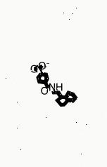 O=C(NCC=C1CCCc2ccccc21)c1ccc([N+](=O)[O-])cc1